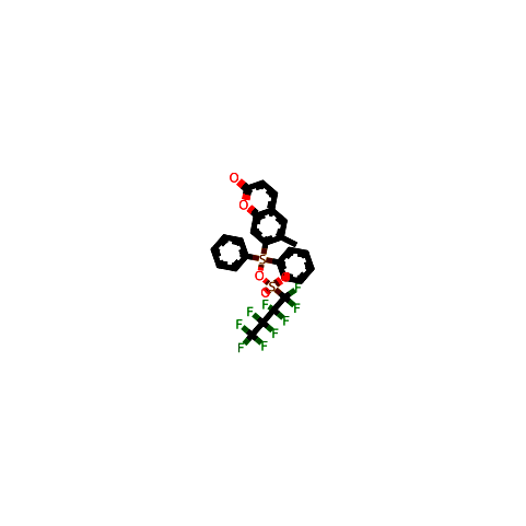 Cc1cc2ccc(=O)oc2cc1S(OS(=O)(=O)C(F)(F)C(F)(F)C(F)(F)C(F)(F)F)(c1ccccc1)c1ccccc1